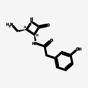 NC[C@@H]1NC(=O)[C@@H]1NC(=O)Cc1cccc(O)c1